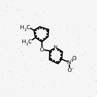 Cc1cccc(Oc2ccc([N+](=O)[O-])cn2)c1C